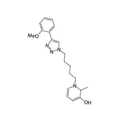 COc1ccccc1-c1cn(CCCCCN2C=CC=C(O)C2C)nn1